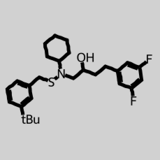 CC(C)(C)c1cccc(CSN(CC(O)CCc2cc(F)cc(F)c2)C2CCCCC2)c1